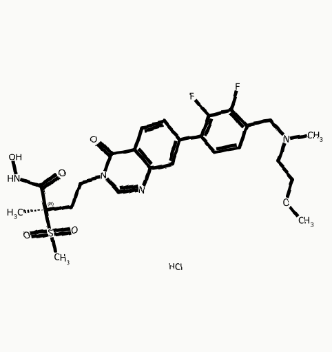 COCCN(C)Cc1ccc(-c2ccc3c(=O)n(CC[C@](C)(C(=O)NO)S(C)(=O)=O)cnc3c2)c(F)c1F.Cl